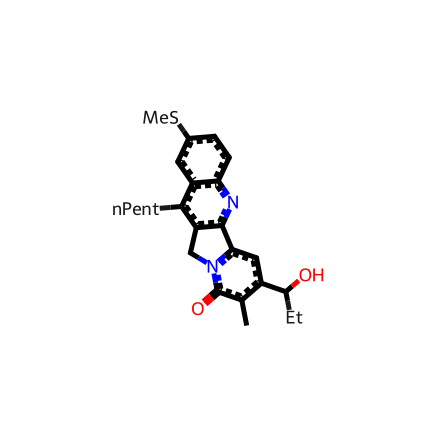 CCCCCc1c2c(nc3ccc(SC)cc13)-c1cc(C(O)CC)c(C)c(=O)n1C2